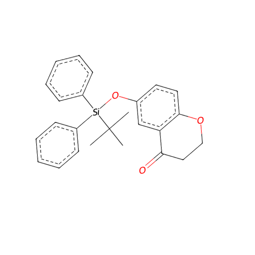 CC(C)(C)[Si](Oc1ccc2c(c1)C(=O)CCO2)(c1ccccc1)c1ccccc1